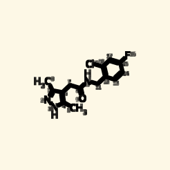 Cc1n[nH]c(C)c1CC(=O)NCc1ccc(F)cc1Cl